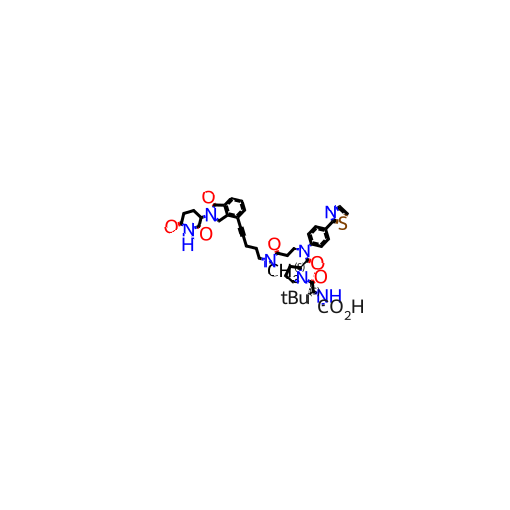 CN(CCCC#Cc1cccc2c1CN(C1CCC(=O)NC1=O)C2=O)C(=O)CCN(C(=O)[C@@H]1CCCN1C(=O)[C@@H](NC(=O)O)C(C)(C)C)c1ccc(-c2nccs2)cc1